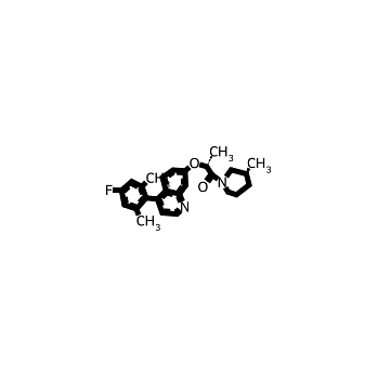 Cc1cc(F)cc(C)c1-c1ccnc2cc(O[C@H](C)C(=O)N3CCC[C@H](C)C3)ccc12